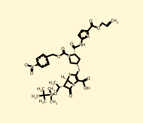 C=CCOC(=O)c1ccc(NC(=O)[C@@H]2C[C@H](SC3=C(C(=O)O)N4C(=O)[C@H](C(C)O[Si](C)(C)C(C)(C)C)[C@H]4S3)CN2C(=O)OCc2ccc([N+](=O)[O-])cc2)s1